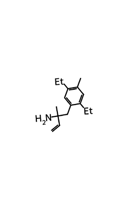 C=CC(C)(N)Cc1cc(CC)c(C)cc1CC